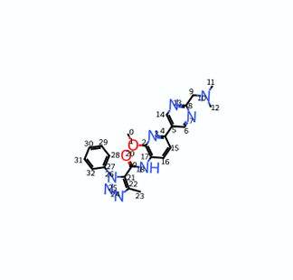 COc1nc(-c2cnc(CN(C)C)nc2)ccc1NC(=O)c1c(C)nnn1-c1ccccc1